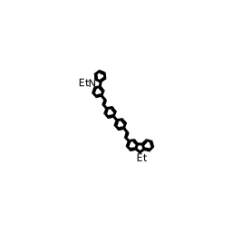 CCC1c2ccccc2-c2cc(C=Cc3ccc(-c4ccc(C=Cc5ccc6c(c5)c5ccccc5n6CC)cc4)cc3)ccc21